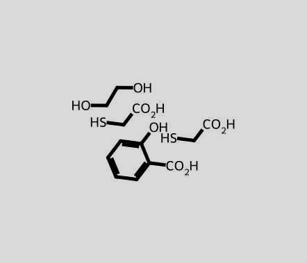 O=C(O)CS.O=C(O)CS.O=C(O)c1ccccc1O.OCCO